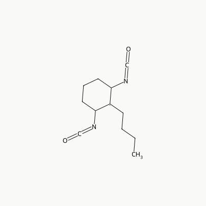 CCCC[C]1C(N=C=O)CCCC1N=C=O